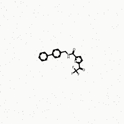 O=C(NCc1ccc(-c2ccccc2)cc1)c1ccc(C(=O)C(F)(F)F)s1